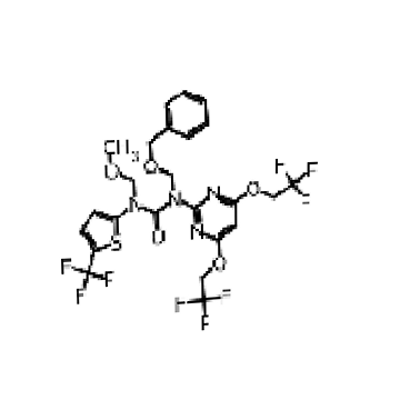 COCN(C(=O)N(COCc1ccccc1)c1nc(OCC(F)(F)F)cc(OCC(F)(F)F)n1)c1ccc(C(F)(F)F)s1